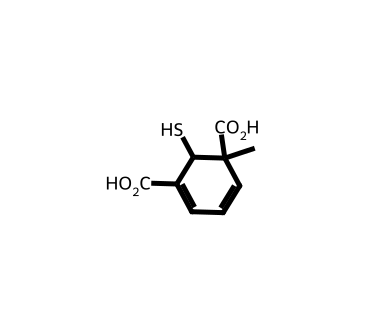 CC1(C(=O)O)C=CC=C(C(=O)O)C1S